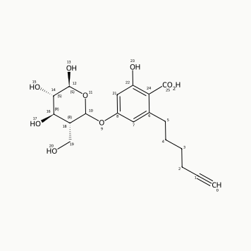 C#CCCCCc1cc(OC2O[C@H](O)[C@@H](O)[C@H](O)[C@H]2CO)cc(O)c1C(=O)O